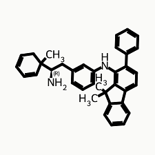 CC1(C)c2ccccc2-c2ccc(-c3ccccc3)c(Nc3cccc(C[C@@H](N)C4(C)C=CC=CC4)c3)c21